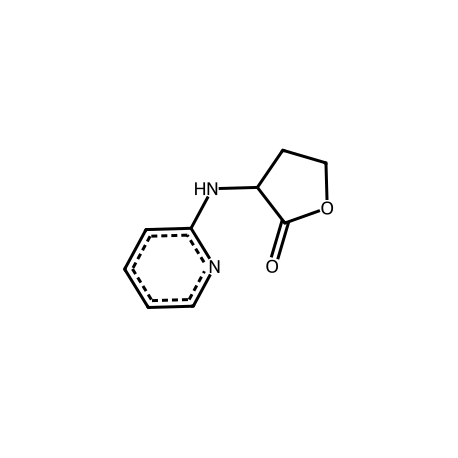 O=C1OCCC1Nc1ccccn1